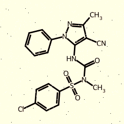 Cc1nn(-c2ccccc2)c(NC(=O)N(C)S(=O)(=O)c2ccc(Cl)cc2)c1C#N